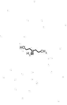 CCCNCCO.O